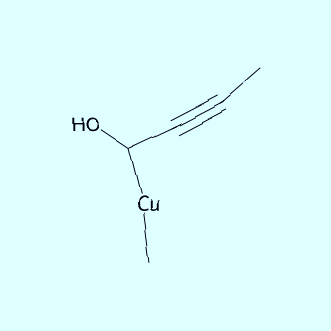 CC#C[CH](O)[Cu][CH3]